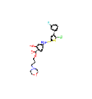 O=C(OCCCN1CCOCC1)c1ccc(NSc2cc(-c3cccc(F)c3)c(Cl)s2)cc1O